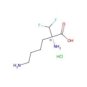 Cl.NCCCC[C@](N)(C(=O)O)C(F)F